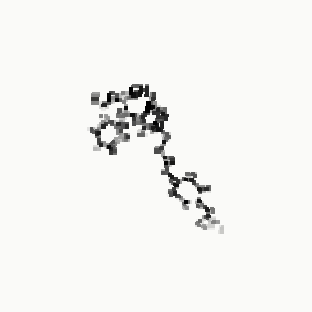 CCC1CCC(COCCn2cc(C(c3ccccc3)C(C)C)nn2)CC1